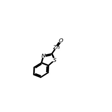 [O]=[Zn][c]1nc2ccccc2s1